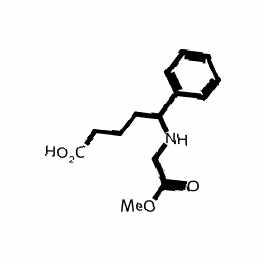 COC(=O)CNC(CCCC(=O)O)c1ccccc1